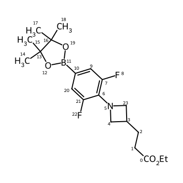 CCOC(=O)CCC1CN(c2c(F)cc(B3OC(C)(C)C(C)(C)O3)cc2F)C1